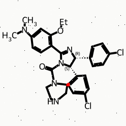 CCOc1cc(N(C)C)ccc1C1=N[C@H](c2ccc(Cl)cc2)[C@H](c2ccc(Cl)cc2)N1C(=O)N1CCNCC1